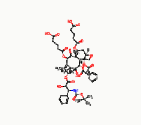 CC(=O)O[C@@]12CO[C@@H]1CC(OC(=O)CCCC(=O)O)[C@@]1(C)C(=O)[C@H](OC(=O)CCCC(=O)O)C3=C(C)[C@@H](OC(=O)[C@H](O)[C@@H](NC(=O)OC(C)(C)C)c4ccccc4)C[C@@](O)([C@@H](OC(=O)c4ccccc4)[C@H]21)C3(C)C